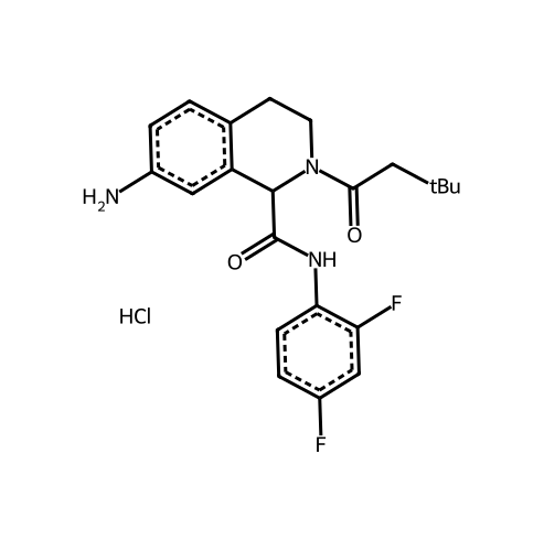 CC(C)(C)CC(=O)N1CCc2ccc(N)cc2C1C(=O)Nc1ccc(F)cc1F.Cl